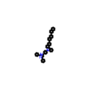 c1ccc(-c2cc(-c3ccc(-n4c5ccccc5c5c6ccc(-c7ccc8cc(-c9ccc%10ccccc%10c9)ccc8c7)cc6ccc54)cc3)nc(-c3ccccc3)n2)cc1